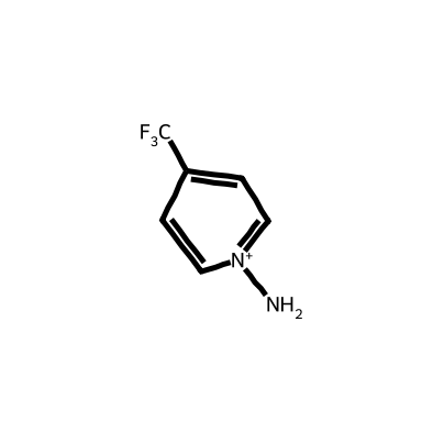 N[n+]1ccc(C(F)(F)F)cc1